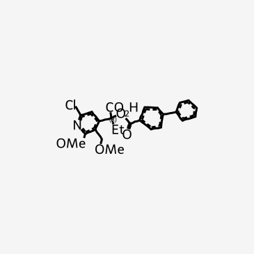 CC[C@](OC(=O)c1ccc(-c2ccccc2)cc1)(C(=O)O)c1cc(Cl)nc(OC)c1COC